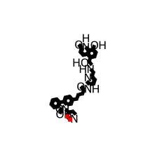 O=C(CCCc1ccc(-c2ccccc2)c(N(C(=O)O)C23CCN(CC2)CC3)c1)Nc1ccc(CNC[C@H](O)c2ccc(O)c3[nH]c(=O)ccc23)nc1